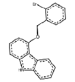 Brc1ccccc1COc1cccc2[nH]c3ccccc3c12